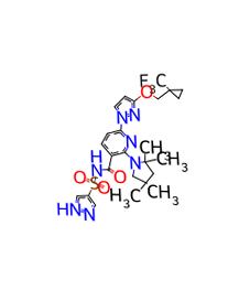 CC1(C)CN(c2nc(-n3ccc(OCC4(C(F)(F)F)CC4)n3)ccc2C(=O)NS(=O)(=O)c2cn[nH]c2)C(C)(C)C1